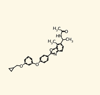 CC(=O)NC(C)c1ccc2nc(-c3ccc(Oc4cccc(OCC5CC5)c4)cc3)oc2c1C